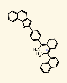 N/C(c1ccc(-c2nc3ccc4ccccc4c3s2)cc1)=c1/cccc/c1=C(/N)c1cccc2ccccc12